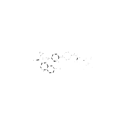 CC(C)(C)OC(=O)NC1CCN(c2ccc(Nc3c(C(=O)C4CC4)cnc4ccc(Br)cc34)cn2)CC1